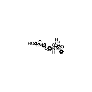 Cc1cc(=O)n(-c2ccccc2)nc1C(=O)Nc1ccc(Oc2ccnc(NC(=O)N3CC(O)C3)c2)c(F)c1